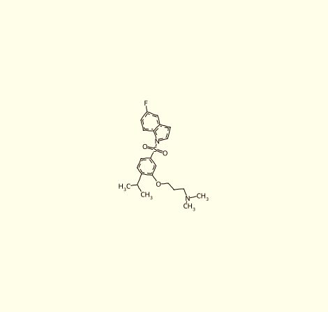 CC(C)c1ccc(S(=O)(=O)n2ccc3cc(F)ccc32)cc1OCCCN(C)C